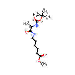 COC(=O)CCCCCNC(=O)C(C)NC(=O)OC(C)(C)C